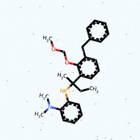 CCC(C)(Pc1ccccc1N(C)C)c1cccc(Cc2ccccc2)c1OCOC